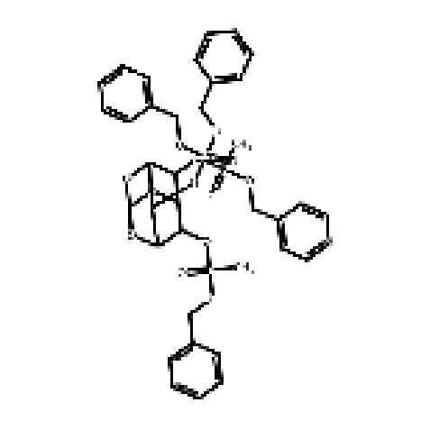 CP(=O)(OCc1ccccc1)OC1C2OC3OC1C(OP(=O)(OCc1ccccc1)OCc1ccccc1)C(O3)C2OP(C)(=O)OCc1ccccc1